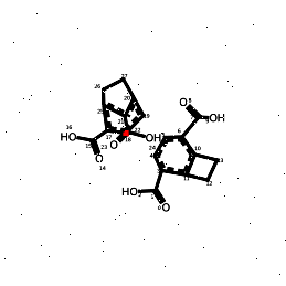 O=C(O)c1ccc(C(=O)O)c2c1CC2.O=C(O)c1ccc2c(C(=O)O)c1CC2